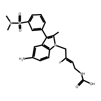 Cc1c(-c2cccc(S(=O)(=O)N(C)C)c2)c2cc(N)ccc2n1CC(F)=CCNC(=O)O